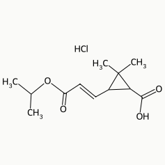 CC(C)OC(=O)C=CC1C(C(=O)O)C1(C)C.Cl